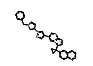 C1=CN(Cc2ccccc2)CC1n1cc(-c2cnc3ncc(C4(c5ccc6ncccc6c5)CC4)n3c2)cn1